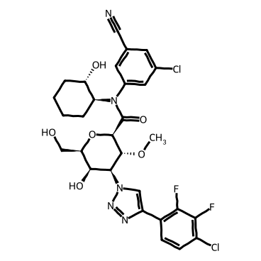 CO[C@@H]1[C@@H](n2cc(-c3ccc(Cl)c(F)c3F)nn2)[C@@H](O)[C@@H](CO)O[C@H]1C(=O)N(c1cc(Cl)cc(C#N)c1)[C@H]1CCCC[C@@H]1O